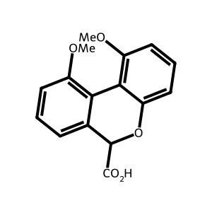 COc1cccc2c1-c1c(OC)cccc1C(C(=O)O)O2